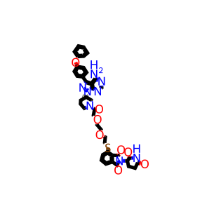 Nc1ncnc2c1c(-c1ccc(Oc3ccccc3)cc1)nn2[C@@H]1CCCN(C(=O)COCCOCCSc2cccc3c2C(=O)N(C2CCC(=O)NC2=O)C3=O)C1